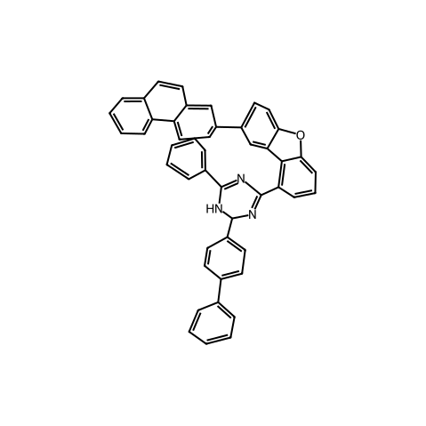 c1ccc(C2=NC(c3cccc4oc5ccc(-c6ccc7c(ccc8ccccc87)c6)cc5c34)=NC(c3ccc(-c4ccccc4)cc3)N2)cc1